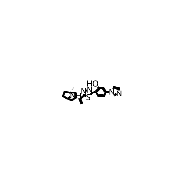 C=C(c1nnc(-c2ccc(-n3ccnc3)cc2O)s1)[C@@H]1CC2CC[C@@](C)(C1)N2